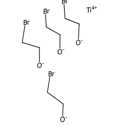 [O-]CCBr.[O-]CCBr.[O-]CCBr.[O-]CCBr.[Ti+4]